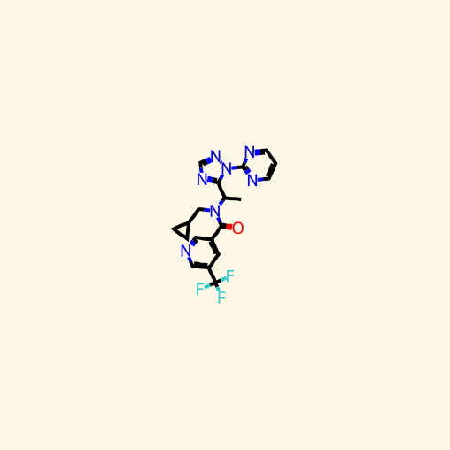 CC(c1ncnn1-c1ncccn1)N(CC1CC1)C(=O)c1cncc(C(F)(F)F)c1